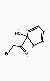 CC(C)CC(=O)C1(O)C=CC=CC1